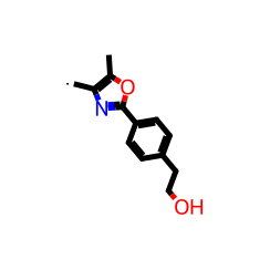 [CH2]c1nc(-c2ccc(CCO)cc2)oc1C